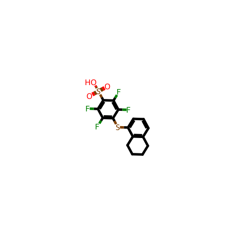 O=S(=O)(O)c1c(F)c(F)c(Sc2cccc3c2CCCC3)c(F)c1F